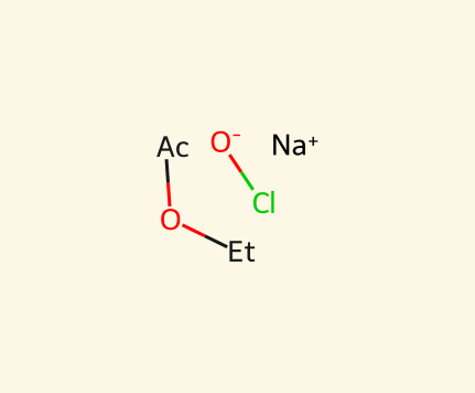 CCOC(C)=O.[Na+].[O-]Cl